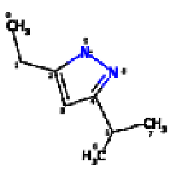 CCC1=CC(C(C)C)=N[N]1